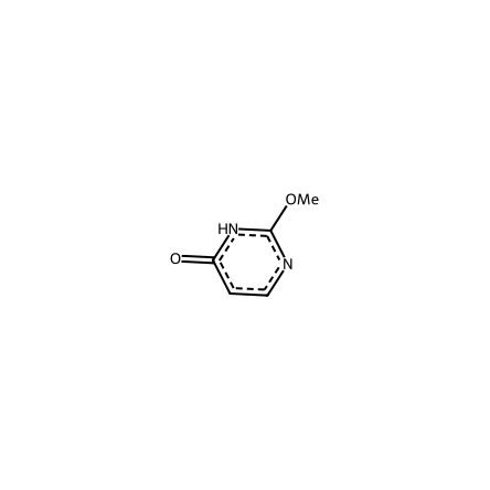 COc1nccc(=O)[nH]1